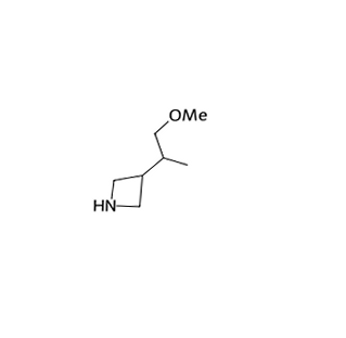 COCC(C)C1CNC1